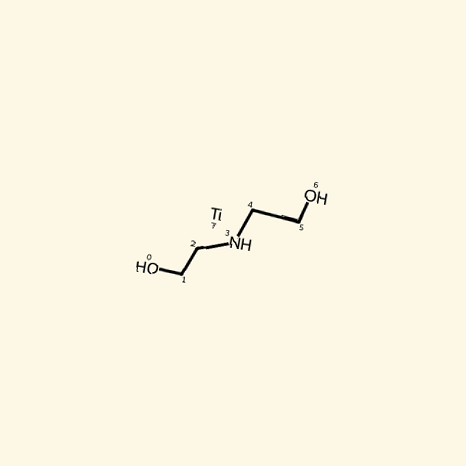 OCCNCCO.[Ti]